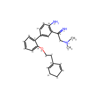 CN(C)CC(=N)c1cc(-c2ccccc2OCCC2=CCCC=C2)ccc1N